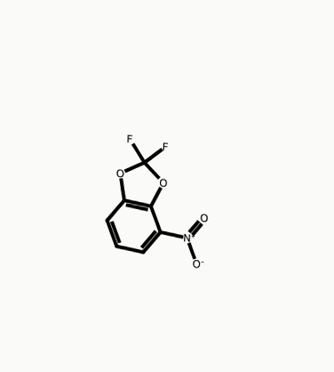 O=[N+]([O-])c1cccc2c1OC(F)(F)O2